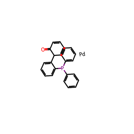 O=C1C=CC=CC1c1ccccc1P(c1ccccc1)c1ccccc1.[Pd]